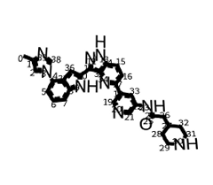 Cc1cn(-c2cccc3[nH]c(-c4n[nH]c5ccc(-c6cncc(NC(=O)CC7CCNCC7)c6)nc45)cc23)cn1